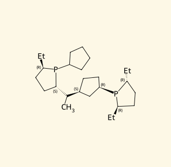 CC[C@@H]1CC[C@@H](C(C)[C@H]2CC[C@@H](P3[C@H](CC)CC[C@H]3CC)C2)P1C1CCCC1